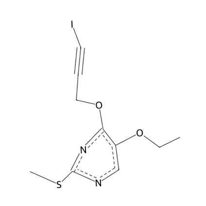 CCOc1cnc(SC)nc1OCC#CI